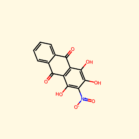 O=C1c2ccccc2C(=O)c2c(O)c([N+](=O)[O-])c(O)c(O)c21